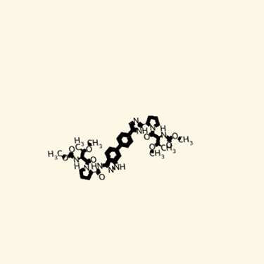 COC(=O)N[C@H](C(=O)N1CCC[C@H]1C(=O)Nc1n[nH]c2cc(-c3ccc(-c4cnc([C@@H]5CCCN5C(=O)[C@@H](NC(=O)OC)[C@@H](C)OC)[nH]4)cc3)ccc12)[C@@H](C)OC